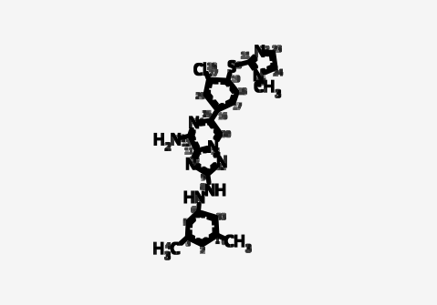 Cc1cc(C)cc(NNc2nc3c(N)nc(-c4ccc(Sc5nccn5C)c(Cl)c4)cn3n2)c1